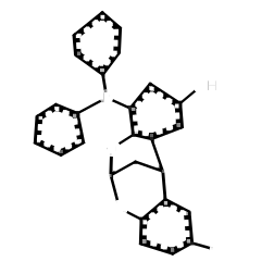 Cc1ccc2c(c1)C1CC(O2)Oc2c1cc(C)cc2P(c1ccccc1)c1ccccc1